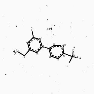 Cl.NCc1cc(F)nc(-c2ccc(C(F)(F)F)nc2)c1